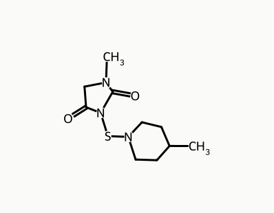 CC1CCN(SN2C(=O)CN(C)C2=O)CC1